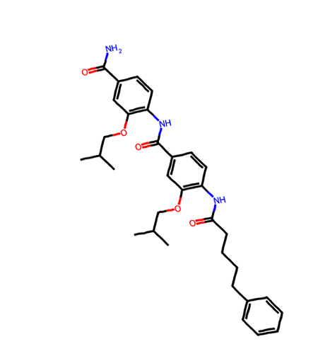 CC(C)COc1cc(C(=O)Nc2ccc(C(N)=O)cc2OCC(C)C)ccc1NC(=O)CCCCc1ccccc1